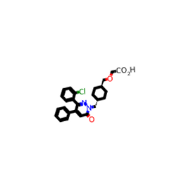 O=C(O)COC[C@H]1CC[C@H](Cn2nc(-c3ccccc3Cl)c(-c3ccccc3)cc2=O)CC1